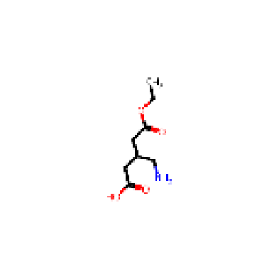 CCOC(=O)CC(CN)CC(=O)O